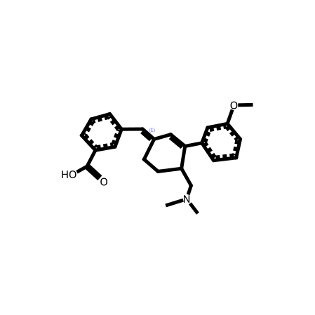 COc1cccc(C2=C/C(=C/c3cccc(C(=O)O)c3)CCC2CN(C)C)c1